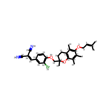 CC(C)=CCOc1c(C)c(C)c2c(c1C)CCC(C)(COc1ccc(C=C(C#N)C#N)cc1Br)O2